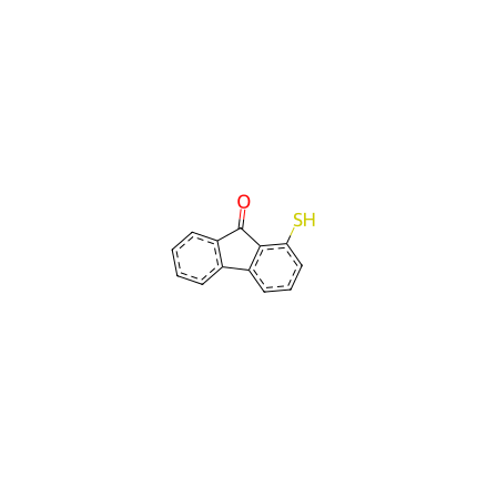 O=C1c2ccccc2-c2cccc(S)c21